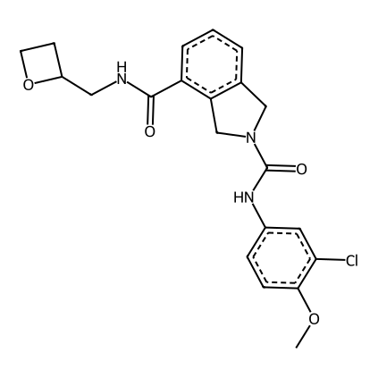 COc1ccc(NC(=O)N2Cc3cccc(C(=O)NCC4CCO4)c3C2)cc1Cl